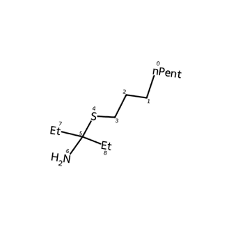 CCCCCCCCSC(N)(CC)CC